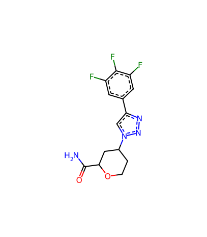 NC(=O)C1CC(n2cc(-c3cc(F)c(F)c(F)c3)nn2)CCO1